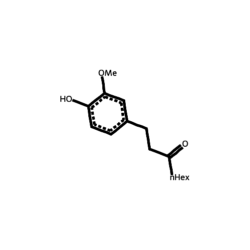 CCCCCCC(=O)CCc1ccc(O)c(OC)c1